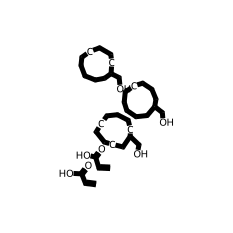 C=CC(=O)O.C=CC(=O)O.OCC1CCCCCCCCC1.OCC1CCCCCCCCC1.OCC1CCCCCCCCC1